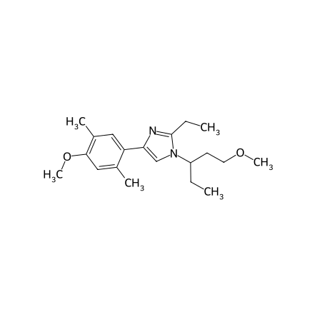 CCc1nc(-c2cc(C)c(OC)cc2C)cn1C(CC)CCOC